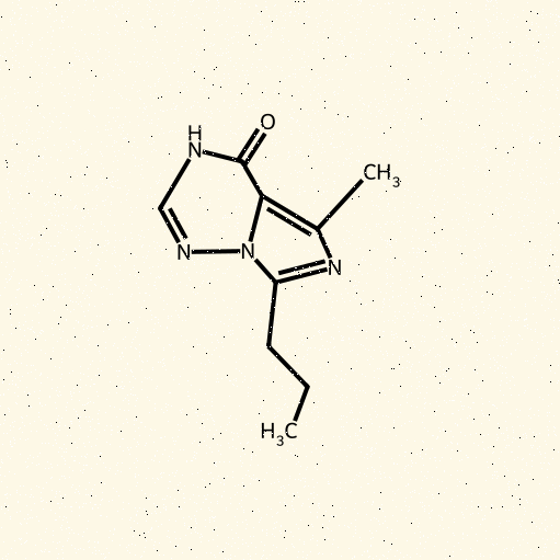 CCCc1nc(C)c2c(=O)[nH]cnn12